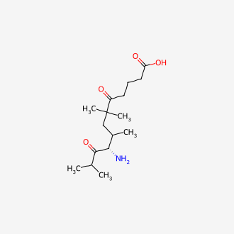 CC(C)C(=O)[C@@H](N)C(C)CC(C)(C)C(=O)CCCC(=O)O